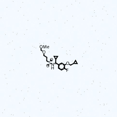 COCOCCCS(=O)(=O)N[C@@H](c1ccc(F)c(OCC2CC2)c1)C1CC1